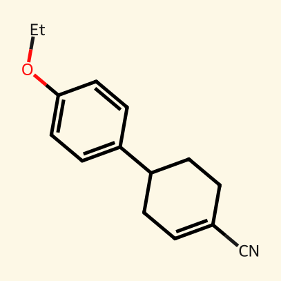 CCOc1ccc(C2CC=C(C#N)CC2)cc1